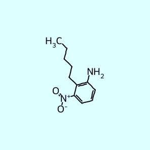 CCCCCc1c(N)cccc1[N+](=O)[O-]